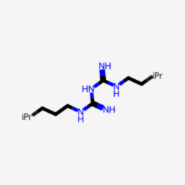 CC(C)CCCNC(=N)NC(=N)NCCC(C)C